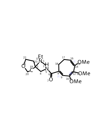 CCN(C)C1(CNC(=O)/C2=C/C(OC)=C(OC)\C(OC)=C/CC2)CCOCC1